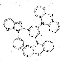 c1ccc(-n2c(-c3cc(N4c5ccccc5Oc5ccccc54)cc(N4c5ccccc5Oc5ccccc54)c3)nc3cccnc32)cc1